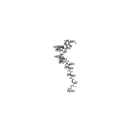 CCCCCCCCCCCCC[C@@H](C)C(=O)SCCNC(=O)CCNC(=O)[C@H](O)C(C)(C)COP(=O)(O)OP(=O)(O)OC[C@H]1O[C@@H](n2cnc3c(N)ncnc32)[C@H](O)[C@@H]1OP(=O)(O)O